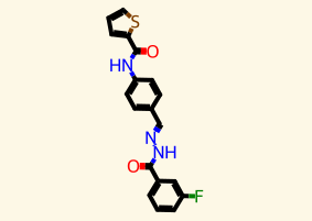 O=C(N/N=C/c1ccc(NC(=O)c2cccs2)cc1)c1cccc(F)c1